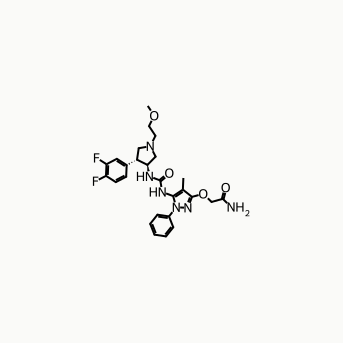 COCCN1C[C@@H](NC(=O)Nc2c(C)c(OCC(N)=O)nn2-c2ccccc2)[C@H](c2ccc(F)c(F)c2)C1